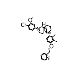 COc1cc(N2CCN3[C@@H](CCC[C@@H]3c3ccc(OCCc4ccccn4)c(C)c3C)C2)ccc1Cl